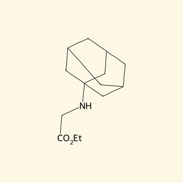 CCOC(=O)CNC12CC3CC(CC(C3)C1)C2